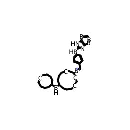 B(=C\c1ccc(Bc2nc3bbcbc3[nH]2)cc1)/C1CCCCCCC(BC2CCCCCCCCC2)CCCCC1